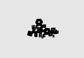 Cc1cc(C(O)(C(F)(F)F)C(F)(F)F)ccc1-c1sc(C(=O)NC2CCC2)nc1C(=O)N1CCCC[C@@H]1C